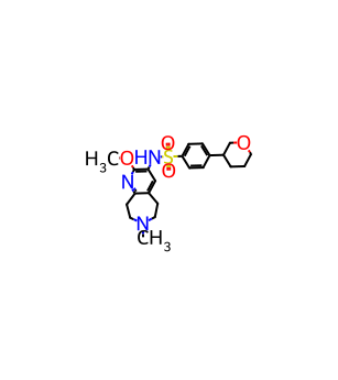 COc1nc2c(cc1NS(=O)(=O)c1ccc(C3CCCOC3)cc1)CCN(C)CC2